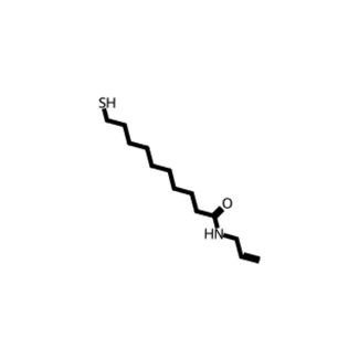 C=CCNC(=O)CCCCCCCCCS